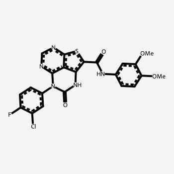 COc1ccc(NC(=O)c2sc3ncnc4c3c2NC(=O)N4c2ccc(F)c(Cl)c2)cc1OC